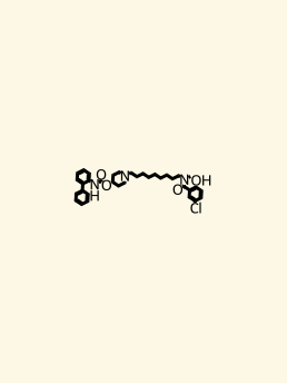 CN(CCCCCCCCCN1CCC(OC(=O)Nc2ccccc2-c2ccccc2)CC1)C(=O)c1cc(Cl)ccc1O